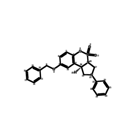 O=S1(=O)Oc2ccc(OCc3ccccc3)cc2[C@@H]2CN(c3ccccc3)CN21